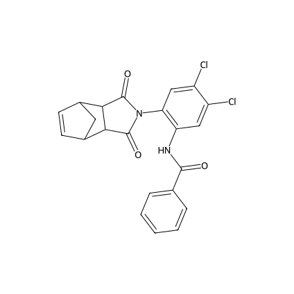 O=C(Nc1cc(Cl)c(Cl)cc1N1C(=O)C2C3C=CC(C3)C2C1=O)c1ccccc1